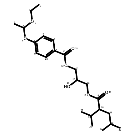 CCOC(C)Oc1ccc(C(=O)OCC(O)COC(=O)C(CC(C)C)C(C)C)cc1